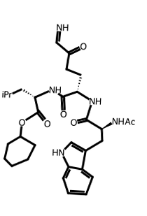 CC(=O)N[C@@H](Cc1c[nH]c2ccccc12)C(=O)N[C@@H](CCC(=O)C=N)C(=O)N[C@@H](CC(C)C)C(=O)OC1CCCCC1